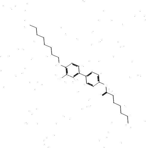 CCCCCCCCOc1ccc(-c2ccc(OC(=O)CCCCCC)cc2)cc1F